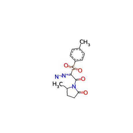 Cc1ccc(S(=O)(=O)C(=[N+]=[N-])C(=O)N2C(=O)CCC2C)cc1